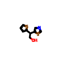 OCC(c1cccs1)c1cncs1